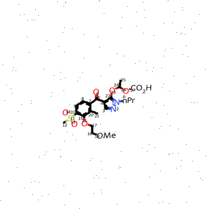 CCCn1ncc(C(=O)c2ccc(S(C)(=O)=O)c(OCCOC)c2C)c1OC(C)OC(=O)O